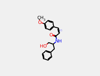 COc1ccc(/C=C\C(=O)NC(CO)Cc2ccccc2)cc1